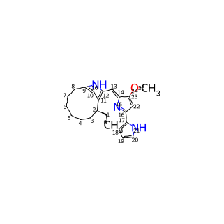 CC[C@H]1CCCCCCc2cc1c(C=C1N=C(c3ccc[nH]3)C=C1OC)[nH]2